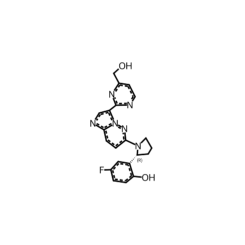 OCc1ccnc(-c2cnc3ccc(N4CCC[C@@H]4c4cc(F)ccc4O)nn23)n1